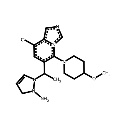 COC1CCN(c2c(C(C)N3C=CCN3N)cc(Cl)c3cncn23)CC1